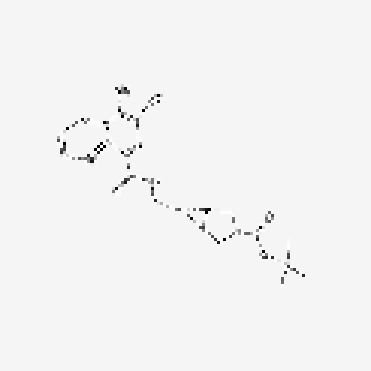 CC(C)(C)OC(=O)N1CC2C(CNC(=O)c3cc(Cl)c(N)c4cccnc34)C2C1